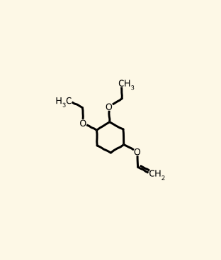 C=COC1CCC(OCC)C(OCC)C1